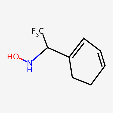 ONC(C1=CC=CCC1)C(F)(F)F